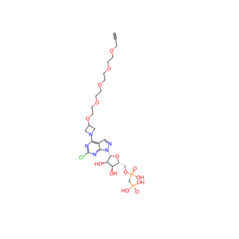 C#CCOCCOCCOCCOCCOC1CN(c2nc(Cl)nc3c2cnn3[C@@H]2O[C@H](COP(=O)(O)CP(=O)(O)O)[C@@H](O)[C@H]2O)C1